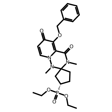 CCOP(=O)(OCC)[C@H]1CCC2(C1)N(C)C(=O)c1c(OCc3ccccc3)c(=O)ccn1N2C